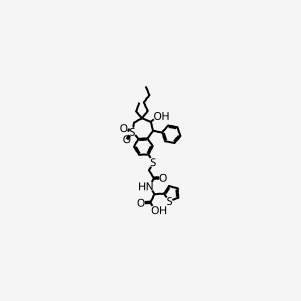 CCCCC1(CC)CS(=O)(=O)c2ccc(SCC(=O)NC(C(=O)O)c3cccs3)cc2C(c2ccccc2)C1O